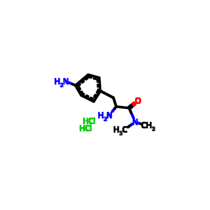 CN(C)C(=O)C(N)Cc1ccc(N)cc1.Cl.Cl